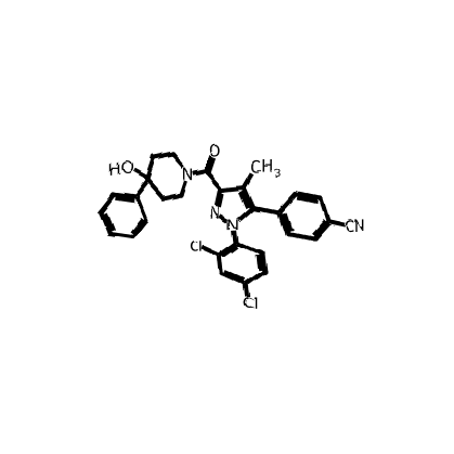 Cc1c(C(=O)N2CCC(O)(c3ccccc3)CC2)nn(-c2ccc(Cl)cc2Cl)c1-c1ccc(C#N)cc1